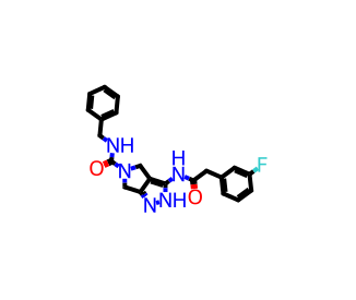 O=C(Cc1cccc(F)c1)Nc1[nH]nc2c1CN(C(=O)NCc1ccccc1)C2